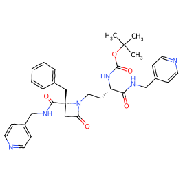 CC(C)(C)OC(=O)N[C@@H](CCN1C(=O)C[C@]1(Cc1ccccc1)C(=O)NCc1ccncc1)C(=O)NCc1ccncc1